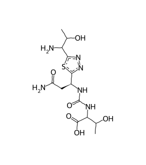 CC(O)C(NC(=O)N[C@@H](CC(N)=O)c1nnc(C(N)C(C)O)s1)C(=O)O